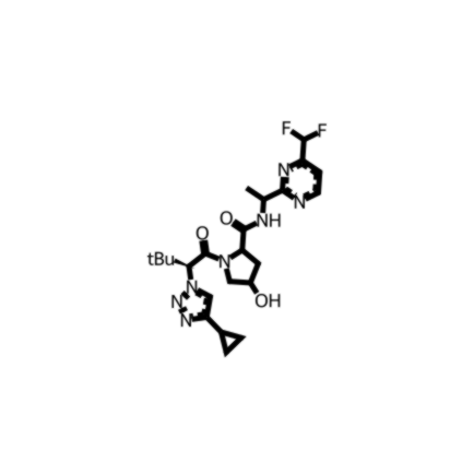 CC(NC(=O)C1CC(O)CN1C(=O)[C@@H](n1cc(C2CC2)nn1)C(C)(C)C)c1nccc(C(F)F)n1